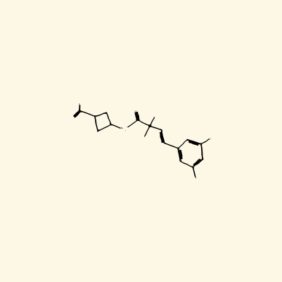 O=C(O)C1CC(NC(=O)C(F)(F)/C=C/c2cc(F)cc(F)c2)C1